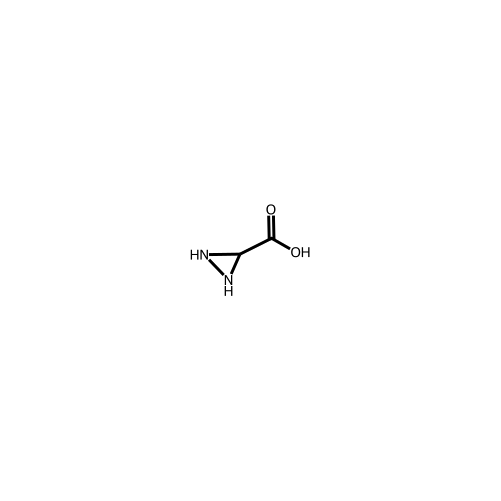 O=C(O)C1NN1